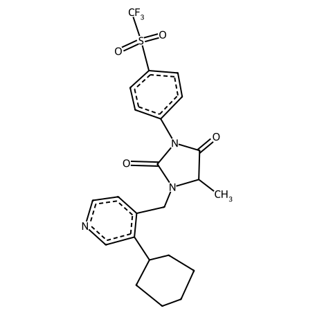 CC1C(=O)N(c2ccc(S(=O)(=O)C(F)(F)F)cc2)C(=O)N1Cc1ccncc1C1CCCCC1